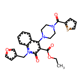 CCOC(=O)c1c(N2CCN(C(=O)c3cccs3)CC2)c2ccccc2n(Cc2ccoc2)c1=O